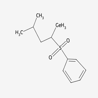 CC(C)C[CH]([GeH3])S(=O)(=O)c1ccccc1